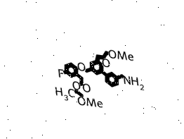 COCc1cc2cc(COc3ccc(F)cc3CC(=O)OC(C)COC)cc(-c3cccc(CN)c3)c2o1